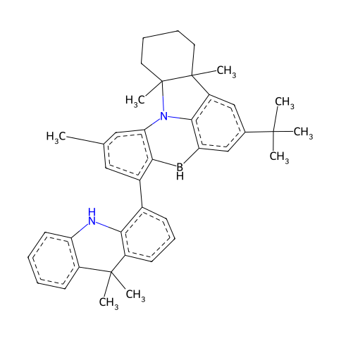 Cc1cc(-c2cccc3c2Nc2ccccc2C3(C)C)c2c(c1)N1c3c(cc(C(C)(C)C)cc3C3(C)CCCCC13C)B2